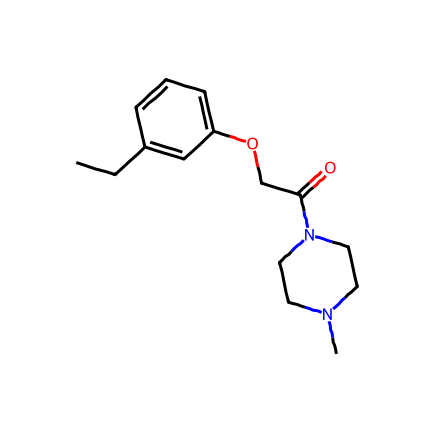 CCc1cccc(OCC(=O)N2CCN(C)CC2)c1